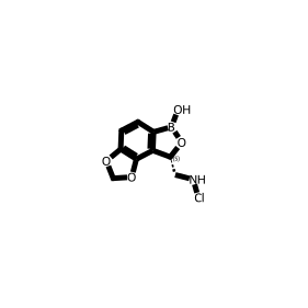 OB1O[C@H](CNCl)c2c1ccc1c2OCO1